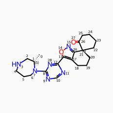 C[C@H]1CNCCCN1c1ncnc(-c2onc3c2CCC[C@@]32CCCCC2=O)n1